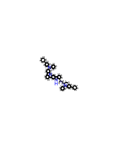 C=C/C(=C\C=C(/C)c1cccc2c1[nH]c1cc3c4cccc5c6ccc(N(c7ccccc7)c7ccc(C8CCCCC8)cc7)cc6n(c3cc12)c54)N(c1ccccc1)c1ccc(C2CCCCC2)cc1